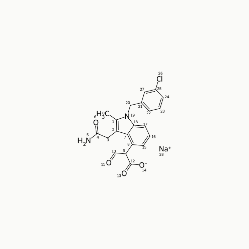 Cc1c(CC(N)=O)c2c(C(C=O)C(=O)[O-])cccc2n1Cc1cccc(Cl)c1.[Na+]